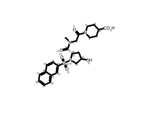 CN(CC(=O)N1CCC(C(=O)O)CC1)C(=O)[C@@H]1CC(S)CN1S(=O)(=O)c1ccc2ccccc2c1